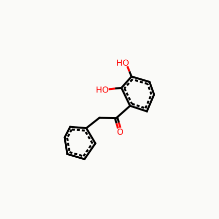 O=C(Cc1ccccc1)c1cccc(O)c1O